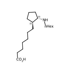 CCCCCCN[C@H]1CCC[C@@H]1CCCCCCC(=O)O